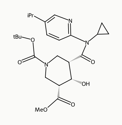 COC(=O)[C@@H]1CN(C(=O)OC(C)(C)C)C[C@H](C(=O)N(c2ccc(C(C)C)cn2)C2CC2)[C@@H]1O